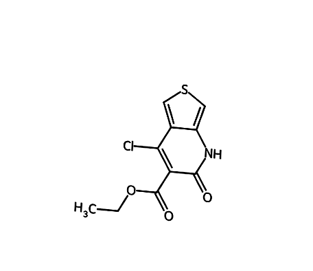 CCOC(=O)c1c(Cl)c2cscc2[nH]c1=O